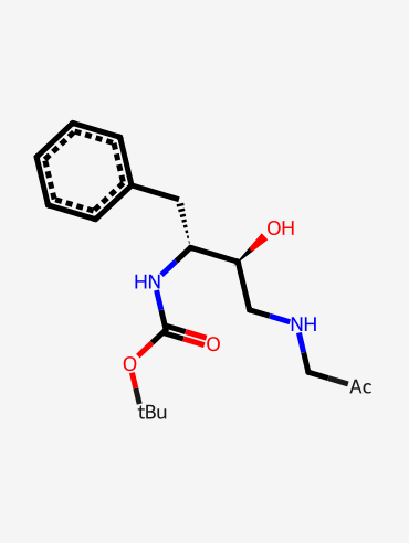 CC(=O)CNC[C@H](O)[C@@H](Cc1ccccc1)NC(=O)OC(C)(C)C